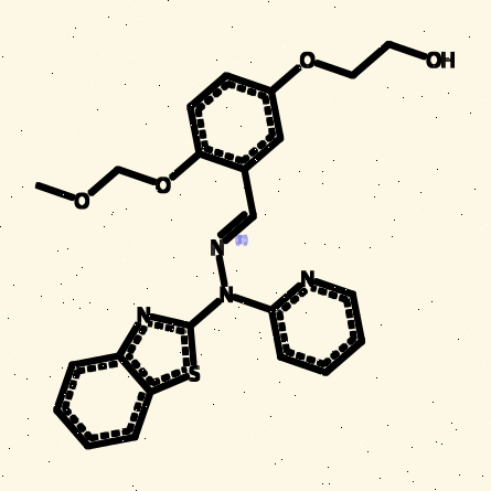 COCOc1ccc(OCCO)cc1/C=N/N(c1ccccn1)c1nc2ccccc2s1